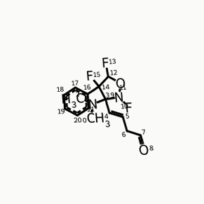 CN(C)C1(C=CCC=O)N(F)OC(F)C1(F)c1ccccc1